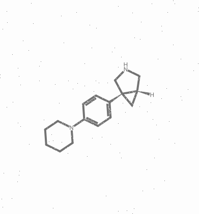 c1cc([C@@]23CNC[C@@H]2C3)ccc1N1CCCCC1